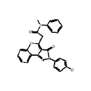 CN(C(=O)Cc1oc2ccccc2c2nn(-c3ccc(Cl)cc3)c(=O)c1-2)c1ccccc1